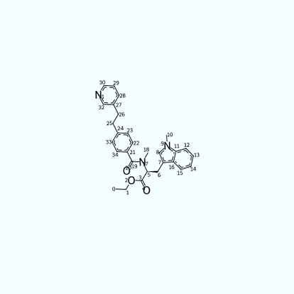 CCOC(=O)[C@H](Cc1cn(C)c2ccccc12)N(C)C(=O)c1ccc(CCc2cccnc2)cc1